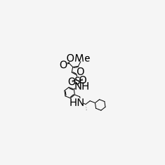 COC(=O)c1cc(S(=O)(=O)Nc2ccccc2CN[C@@H](C)CC2CCCCC2)oc1C